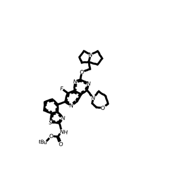 CC(C)(C)OC(=O)Nc1nc2c(-c3ncc4c(N5CCCOCC5)nc(OCC56CCCN5CCC6)nc4c3F)cccc2s1